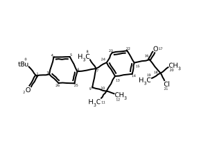 CC(C)(C)C(=O)c1ccc(C2(C)CC(C)(C)c3cc(C(=O)C(C)(C)Cl)ccc32)cc1